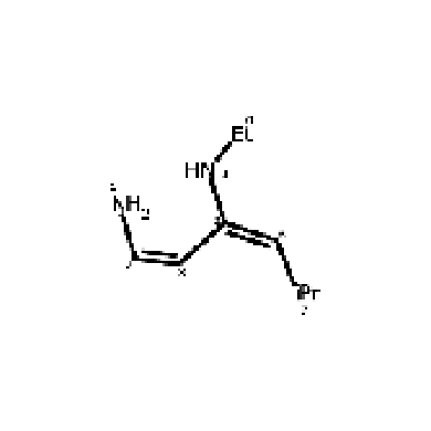 CCNC(/C=C\N)=C/C(C)C